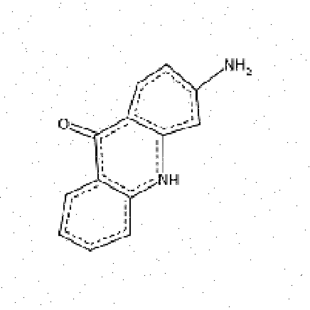 Nc1ccc2c(=O)c3ccccc3[nH]c2c1